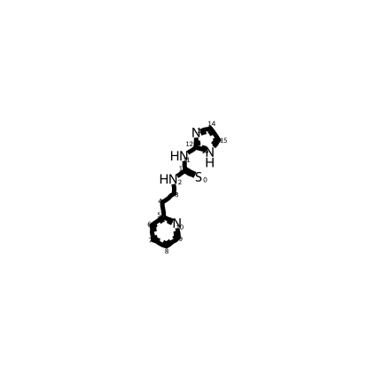 S=C(NCCc1ccccn1)Nc1ncc[nH]1